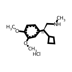 CNC[C@H](c1ccc(OC)c(OC)c1)C1CCC1.Cl